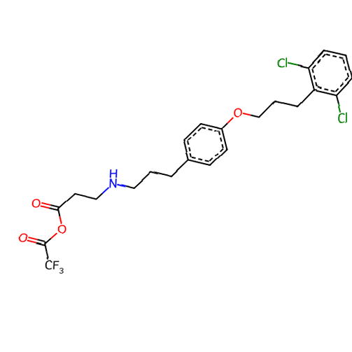 O=C(CCNCCCc1ccc(OCCCc2c(Cl)cccc2Cl)cc1)OC(=O)C(F)(F)F